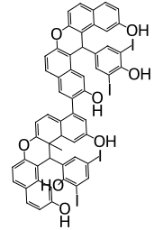 CC12C(=CC=C3C(c4cc5ccc6c(c5cc4O)C(c4cc(I)c(O)c(I)c4)c4c(ccc5ccc(O)cc45)O6)=CC(O)=CC31)Oc1ccc3ccc(O)cc3c1C2c1cc(I)cc(I)c1O